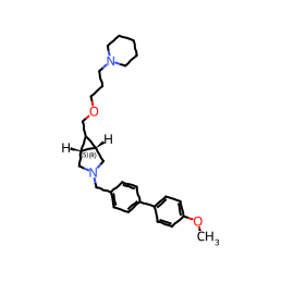 COc1ccc(-c2ccc(CN3C[C@@H]4C(COCCCN5CCCCC5)[C@@H]4C3)cc2)cc1